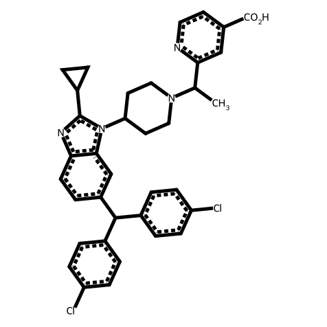 CC(c1cc(C(=O)O)ccn1)N1CCC(n2c(C3CC3)nc3ccc(C(c4ccc(Cl)cc4)c4ccc(Cl)cc4)cc32)CC1